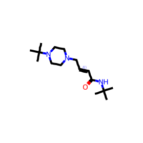 CC(C)(C)NC(=O)/C=C/CN1CCN(C(C)(C)C)CC1